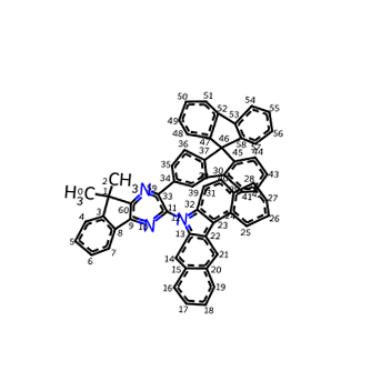 CC1(C)c2ccccc2-c2nc(-n3c4cc5ccccc5cc4c4c5ccccc5ccc43)c(-c3ccc4c(c3)-c3ccccc3C43c4ccccc4-c4ccccc43)nc21